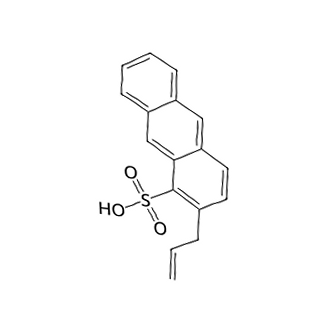 C=CCc1ccc2cc3ccccc3cc2c1S(=O)(=O)O